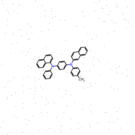 Cc1ccc(N(c2ccc(N(c3ccccc3)c3cccc4ccccc34)cc2)c2ccc3ccccc3c2)cc1